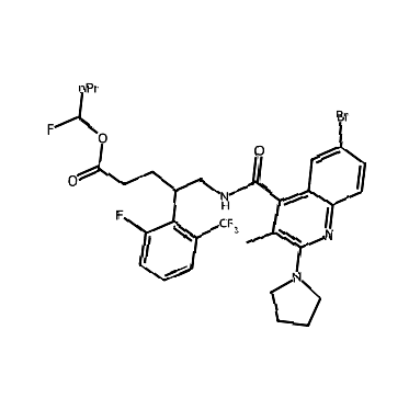 CCCC(F)OC(=O)CCC(CNC(=O)c1c(C)c(N2CCCC2)nc2ccc(Br)cc12)c1c(F)cccc1C(F)(F)F